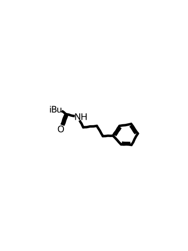 CCC(C)C(=O)NCCCc1ccccc1